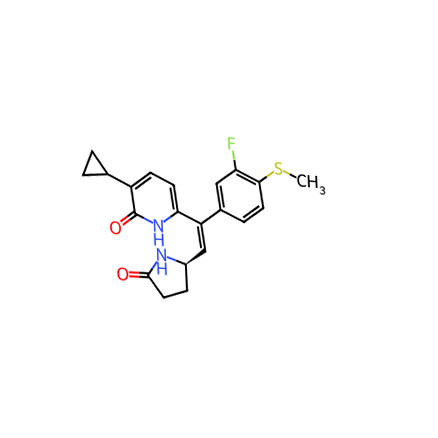 CSc1ccc(/C(=C/[C@H]2CCC(=O)N2)c2ccc(C3CC3)c(=O)[nH]2)cc1F